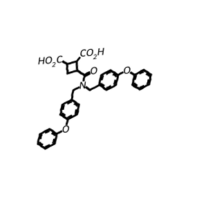 O=C(O)C1CC(C(=O)N(Cc2ccc(Oc3ccccc3)cc2)Cc2ccc(Oc3ccccc3)cc2)C1C(=O)O